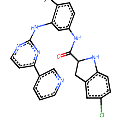 Cc1ccc(NC(=O)C2Cc3cc(Cl)ccc3N2)cc1Nc1nccc(-c2cccnc2)n1